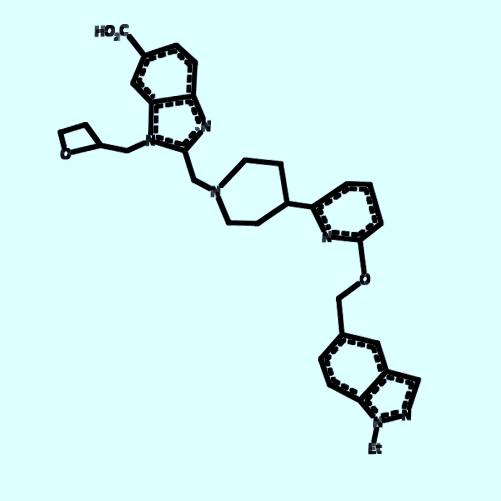 CCn1ncc2cc(COc3cccc(C4CCN(Cc5nc6ccc(C(=O)O)cc6n5CC5CCO5)CC4)n3)ccc21